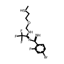 C[SiH](C)CCOCN/C(=N\C(=N)c1ccc(Br)cc1F)C(F)(F)F